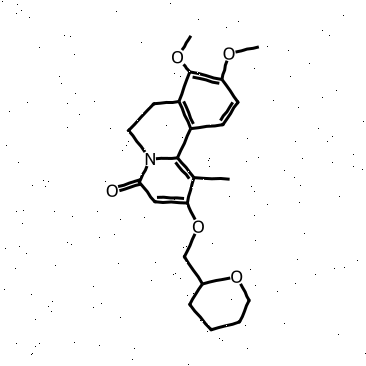 COc1ccc2c(c1OC)CCn1c-2c(C)c(OCC2CCCCO2)cc1=O